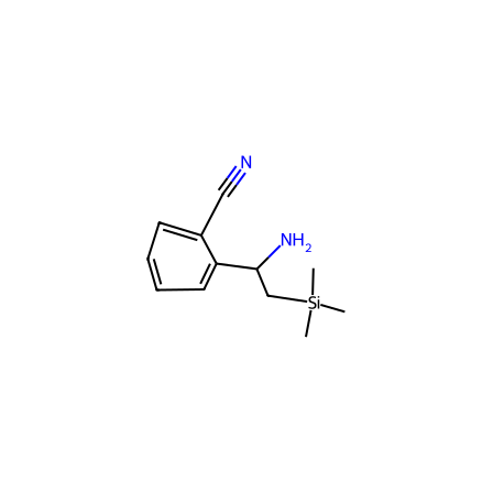 C[Si](C)(C)CC(N)c1ccccc1C#N